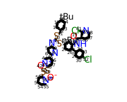 CCCCS/C(=N\c1cccnc1)SCc1ccc(C(C)(C)C)cc1.O=C(Nc1ccccc1-c1ccc(Cl)cc1)c1cccnc1Cl.[O-][n+]1ccccc1SSc1cccc[n+]1[O-]